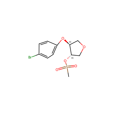 CS(=O)(=O)O[C@H]1COC[C@@H]1Oc1ccc(Br)cc1